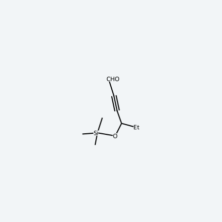 CCC(C#CC=O)O[Si](C)(C)C